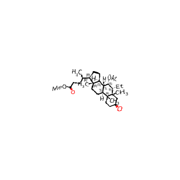 CC[C@H]1[C@@H](OC(C)=O)[C@H]2[C@@H]3CC[C@H]([C@H](C)CCC(=O)OC)[C@@]3(C)CC[C@@H]2[C@@]2(C)CCC(=O)C[C@@]12C